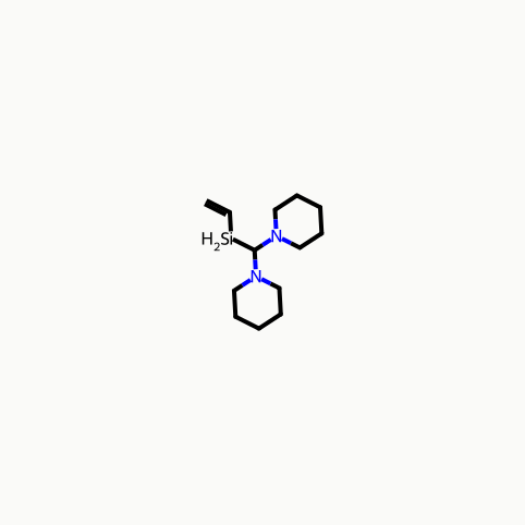 C=C[SiH2]C(N1CCCCC1)N1CCCCC1